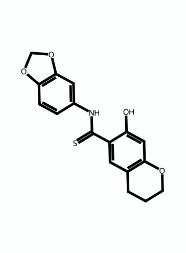 Oc1cc2c(cc1C(=S)Nc1ccc3c(c1)OCO3)CCCO2